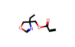 C=CC(=O)OCC1(CC)COC=N1